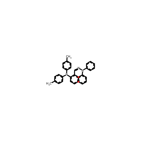 Cc1ccc(N(c2ccc(C)cc2)c2ccccc2C=NN(c2ccccc2)c2ccccc2)cc1